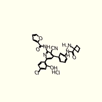 Cl.N#Cc1c(-c2cccc(NC(=O)C3(N)CCC3)c2)cc(-c2ccc(Cl)cc2O)nc1NC(=O)c1ccco1